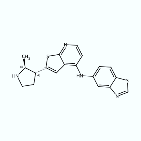 C[C@@H]1NCC[C@H]1c1cc2c(Nc3ccc4scnc4c3)ccnc2s1